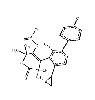 CC(=O)OC1=C(c2c(C3CC3)ccc(-c3ccc(Cl)cc3)c2Cl)C(C)(C)C(=O)OC1(C)C